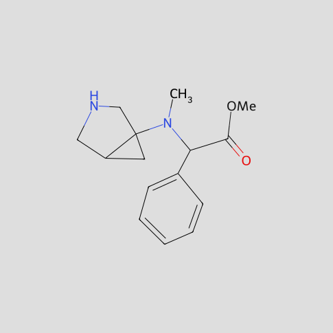 COC(=O)C(c1ccccc1)N(C)C12CNCC1C2